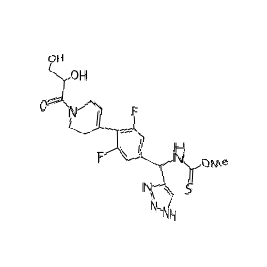 COC(=S)NC(c1cc(F)c(C2=CCN(C(=O)C(O)CO)CC2)c(F)c1)c1c[nH]nn1